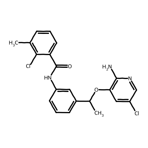 Cc1cccc(C(=O)Nc2cccc(C(C)Oc3cc(Cl)cnc3N)c2)c1Cl